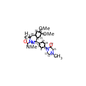 CNC(=O)N1N=C(c2ccc(N3CCN(C)CC3=O)cc2)c2cc(OC)c(OC)cc2C[C@@H]1C